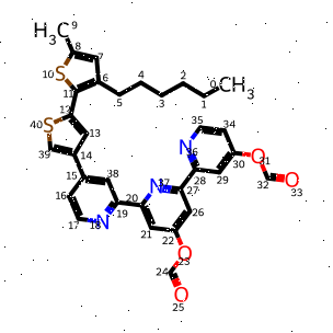 CCCCCCc1cc(C)sc1-c1cc(-c2ccnc(-c3cc(OC=O)cc(-c4cc(OC=O)ccn4)n3)c2)cs1